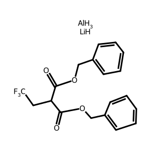 O=C(OCc1ccccc1)C(CC(F)(F)F)C(=O)OCc1ccccc1.[AlH3].[LiH]